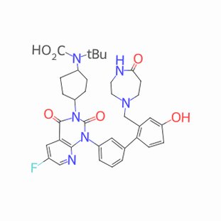 CC(C)(C)N(C(=O)O)C1CCC(n2c(=O)c3cc(F)cnc3n(-c3cccc(-c4ccc(O)cc4CN4CCNC(=O)CC4)c3)c2=O)CC1